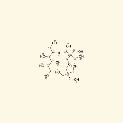 OCC(CO)(CO)COCC(CO)(CO)CO.OCC(O)C(O)C(O)C(O)CO